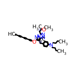 C#CC#CC#CC#COc1nn2c(/C=C(/C)OC)nnc2/c1=C\c1ccc(N(CCCC)CCCC)cc1C